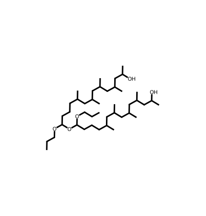 CCCOC(CCCC(C)CC(C)CC(C)CC(C)CC(C)O)OC(CCCC(C)CC(C)CC(C)CC(C)CC(C)O)OCCC